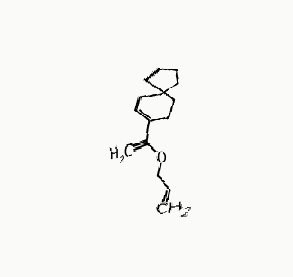 C=CCOC(=C)C1=CCC2(CCCC2)CC1